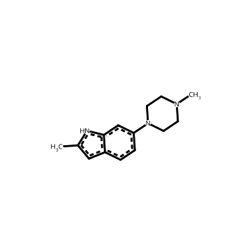 Cc1cc2ccc(N3CCN(C)CC3)cc2[nH]1